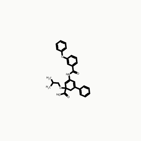 CC(C)COC1(C(=O)O)C=C(NC(=O)c2cccc(Oc3ccccc3)c2)C=C(c2ccccc2)C1